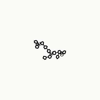 c1ccc(-c2cccc(N(c3ccc(-c4ccc(-c5cccc(-n6c7ccccc7c7ccccc76)c5)cc4)cc3)c3ccc(-c4ccc5c(oc6ccccc65)c4-c4ccccc4)cc3)c2)cc1